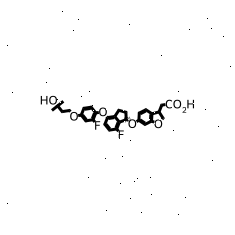 CC(C)(O)CCOc1ccc(Oc2ccc(F)c3c2CC[C@H]3Oc2ccc3c(c2)OCC3CC(=O)O)c(F)c1